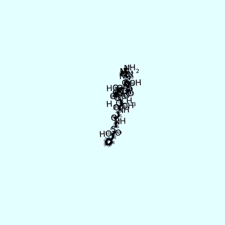 CC(C)(COP(=O)(O)OP(=O)(O)OC[C@H]1O[C@@H](n2cnc3c(N)ncnc32)[C@H](O)[C@@H]1OP(=O)(O)O)[C@@H](O)C(=O)NCCC(=O)NCCSC(=O)[C@H](O)Cc1ccccc1